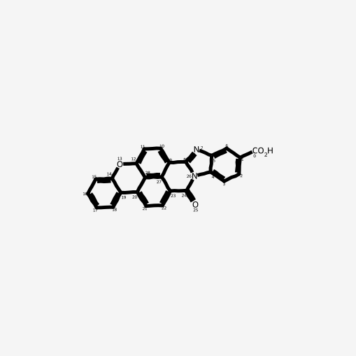 O=C(O)c1ccc2c(c1)nc1c3ccc4oc5ccccc5c5ccc(c(=O)n21)c3c45